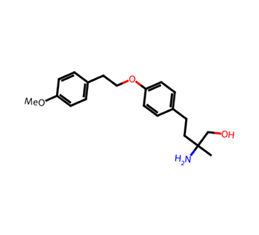 COc1ccc(CCOc2ccc(CCC(C)(N)CO)cc2)cc1